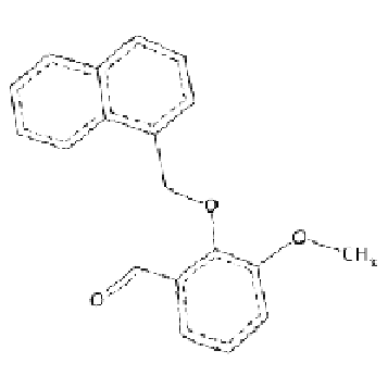 COc1cccc(C=O)c1OCc1cccc2ccccc12